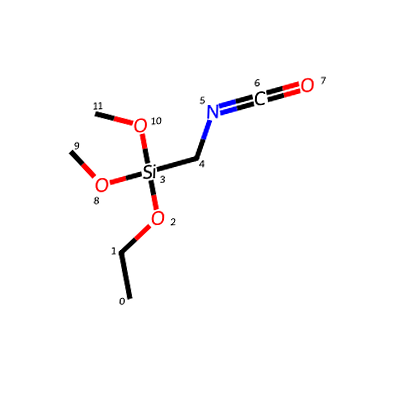 CCO[Si](CN=C=O)(OC)OC